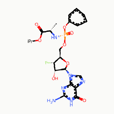 CC(C)OC(=O)[C@H](C)N[P@](=O)(OC[C@H]1O[C@@H](n2cnc3c(=O)[nH]c(N)nc32)[C@H](O)[C@@H]1F)Oc1ccccc1